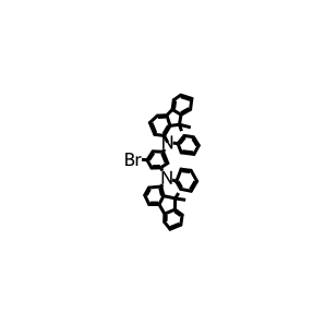 CC1(C)c2ccccc2-c2cccc(N(c3ccccc3)c3cc(Br)cc(N(c4ccccc4)c4cccc5c4C(C)(C)c4ccccc4-5)c3)c21